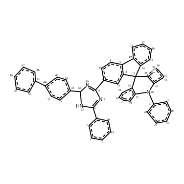 c1ccc(C2=NC(c3ccc4c(c3)C3(c5ccccc5-4)c4ccccc4N(c4ccccc4)c4ccccc43)=NC(c3ccc(-c4ccccc4)cc3)N2)cc1